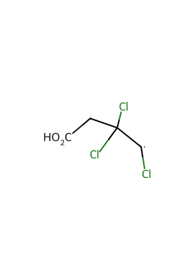 O=C(O)CC(Cl)(Cl)[CH]Cl